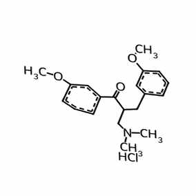 COc1cccc(CC(CN(C)C)C(=O)c2cccc(OC)c2)c1.Cl